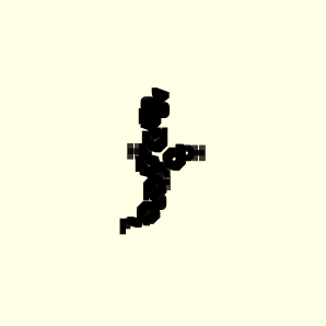 CC1(O)CCC(Nc2cc(Nc3ccnc(-c4cnn(S(=O)(=O)C5CC5)c4)n3)ncc2-c2cnc(OC3CCN(CCF)CC3)cn2)CC1